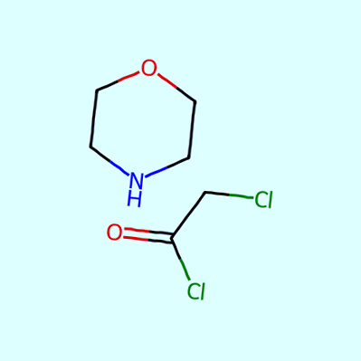 C1COCCN1.O=C(Cl)CCl